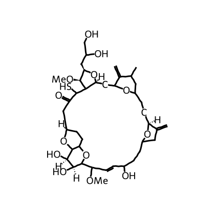 C=C1C(C)CC2CC[C@@H]3OC(CCC(O)/C=C/C(OC)C4OC5CC[C@H](CC(=O)C(S)C6[C@H](CC1O2)O[C@H](CC(O)CO)[C@@H]6OC)OC5[C@H](O)[C@@H]4O)CC3=C